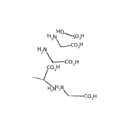 CC(N)C(=O)O.NCC(=O)O.NCC(=O)O.NCC(=O)O.O=S(=O)(O)O